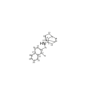 Cc1c(CNC23CC4CC(CC(C4)C2)C3)ccc2ccccc12